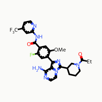 CCC(=O)N1CCCC(c2nc(-c3cc(F)c(C(=O)Nc4cc(C(F)(F)F)ccn4)cc3OC)c3c(N)nccn23)C1